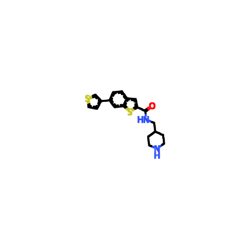 O=C(NCC1CCNCC1)c1cc2ccc(-c3ccsc3)cc2s1